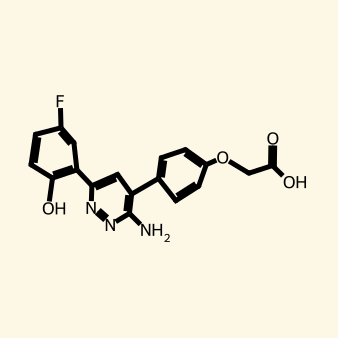 Nc1nnc(-c2cc(F)ccc2O)cc1-c1ccc(OCC(=O)O)cc1